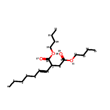 CCCCCC=CC(CC(=O)OCCCC)C(=O)OCCCC